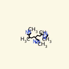 CC(CCC(CCC(C)c1nccn1C)c1cn(C)cn1)c1cnn(C)c1